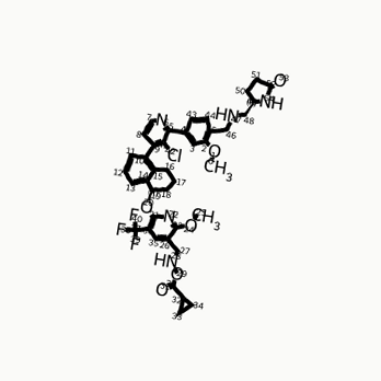 COc1cc(-c2nccc(-c3cccc4c3CCC[C@H]4Oc3nc(OC)c(CNOC(=O)C4CC4)cc3C(F)(F)F)c2Cl)ccc1CNC[C@H]1CCC(=O)N1